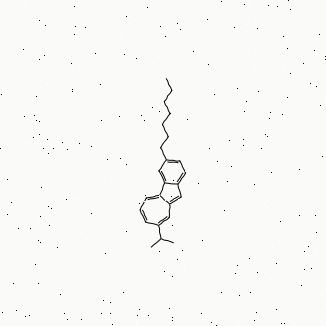 CCCCCCCc1ccc2cc3cc(C(C)C)cccc-3c2c1